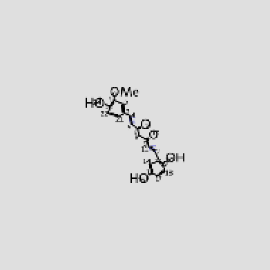 COc1cc(/C=C/C(=O)CC(=O)/C=C/c2cc(O)ccc2O)ccc1O